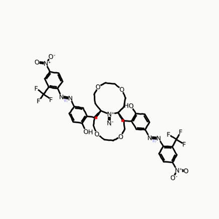 [N-]=[N+]1C2(Cc3cc(/N=N/c4ccc([N+](=O)[O-])cc4C(F)(F)F)ccc3O)CCOCCOCCC1(Cc1cc(/N=N/c3ccc([N+](=O)[O-])cc3C(F)(F)F)ccc1O)CCOCCOCC2